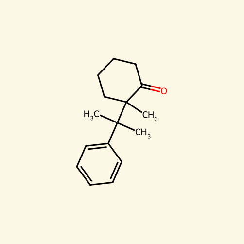 CC1(C(C)(C)c2ccccc2)CCCCC1=O